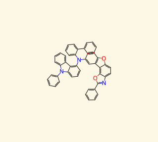 c1ccc(-c2nc3ccc4oc5ccc(N(c6ccccc6-c6ccccc6)c6cccc7c6c6ccccc6n7-c6ccccc6)cc5c4c3o2)cc1